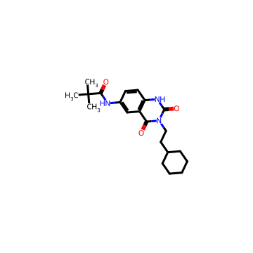 CC(C)(C)C(=O)Nc1ccc2[nH]c(=O)n(CCC3CCCCC3)c(=O)c2c1